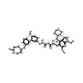 CCc1nc2c(cnn2CC)c(NC2CCOCC2)c1CNC(=O)CC(=O)NCc1ccc(OC)c(-c2cccc(CN3CCCN(C)CC3)c2)c1